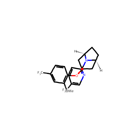 COc1cc(C(F)(F)F)ccc1O[C@H]1C[C@H]2CC[C@@H](C1)N2c1ccc(C(F)(F)F)cn1